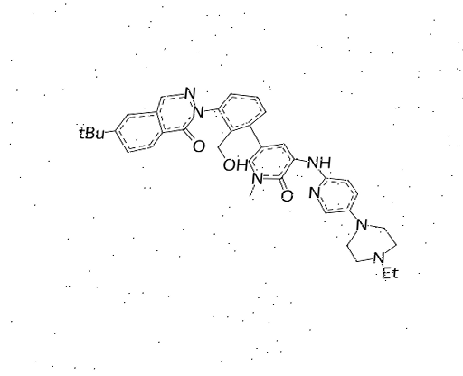 CCN1CCN(c2ccc(Nc3cc(-c4cccc(-n5ncc6cc(C(C)(C)C)ccc6c5=O)c4CO)cn(C)c3=O)nc2)CC1